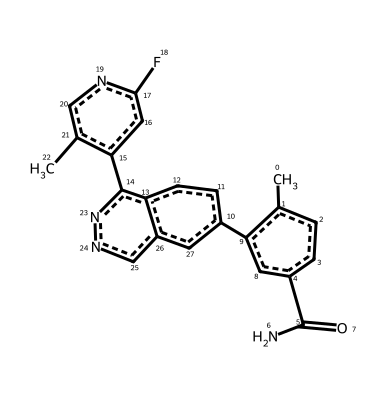 Cc1ccc(C(N)=O)cc1-c1ccc2c(-c3cc(F)ncc3C)nncc2c1